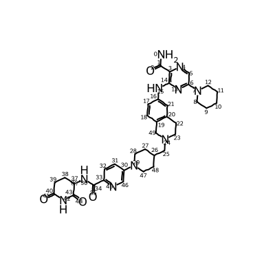 NC(=O)c1ncc(N2CCCCC2)nc1Nc1ccc2c(c1)CCN(CC1CCN(c3ccc(C(=O)N[C@@H]4CCC(=O)NC4=O)nc3)CC1)C2